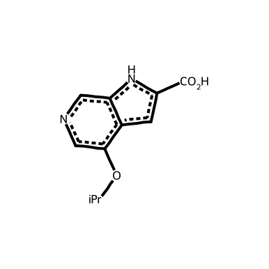 CC(C)Oc1cncc2[nH]c(C(=O)O)cc12